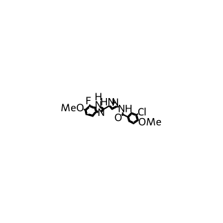 COc1ccc(C(=O)Nc2cc(-c3nc4ccc(OC)c(F)c4[nH]3)[nH]n2)cc1Cl